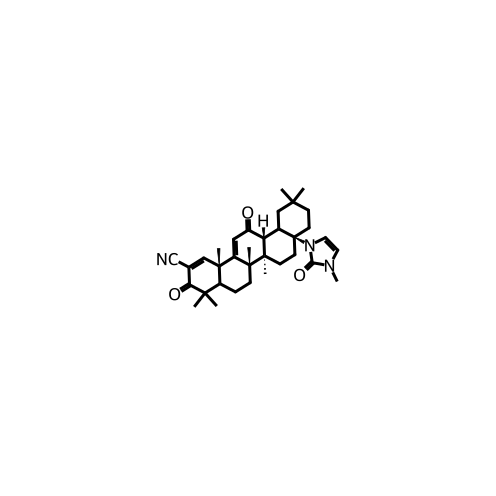 Cn1ccn([C@]23CCC(C)(C)CC2[C@H]2C(=O)C=C4[C@@]5(C)C=C(C#N)C(=O)C(C)(C)C5CC[C@@]4(C)[C@]2(C)CC3)c1=O